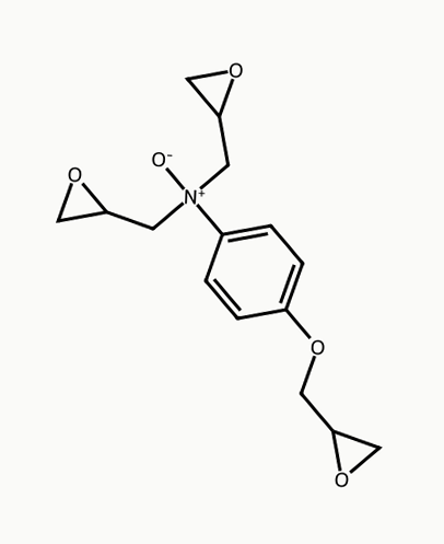 [O-][N+](CC1CO1)(CC1CO1)c1ccc(OCC2CO2)cc1